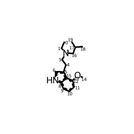 CCN(CCc1c[nH]c2cccc(OC)c12)CC(C)C